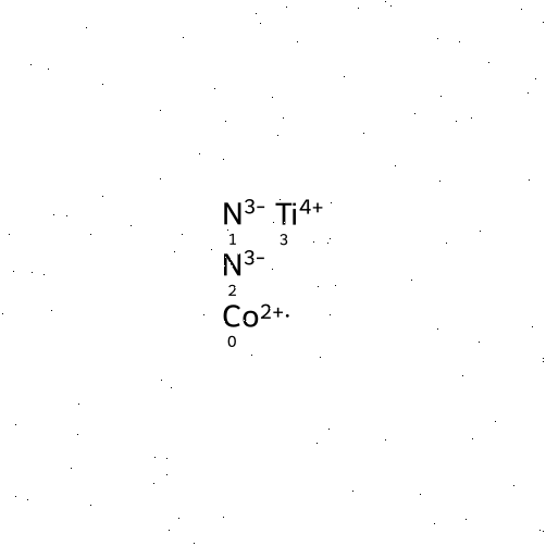 [Co+2].[N-3].[N-3].[Ti+4]